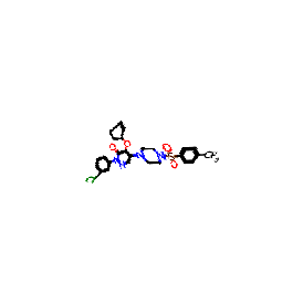 O=c1c(OC2CCCC2)c(N2CCN(S(=O)(=O)c3ccc(C(F)(F)F)cc3)CC2)cnn1-c1cccc(Cl)c1